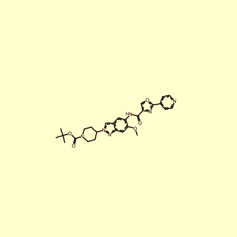 COc1cc2nn(C3CCN(C(=O)OC(C)(C)C)CC3)cc2cc1NC(=O)c1coc(-c2ccncc2)n1